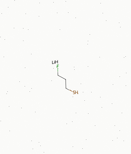 FCCCS.[LiH]